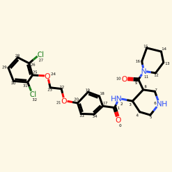 O=C(NC1CCNCC1C(=O)N1CCCCC1)c1ccc(OCCOc2c(Cl)cccc2Cl)cc1